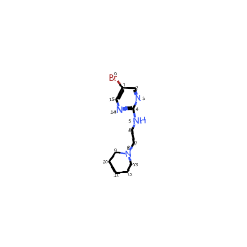 Brc1cnc(NCCN2CCCCC2)nc1